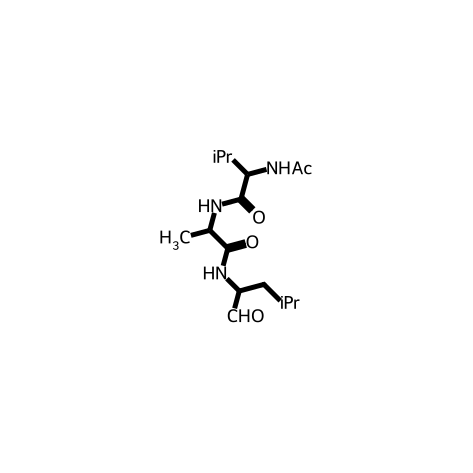 CC(=O)NC(C(=O)NC(C)C(=O)NC(C=O)CC(C)C)C(C)C